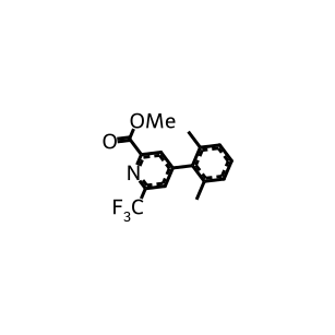 COC(=O)c1cc(-c2c(C)cccc2C)cc(C(F)(F)F)n1